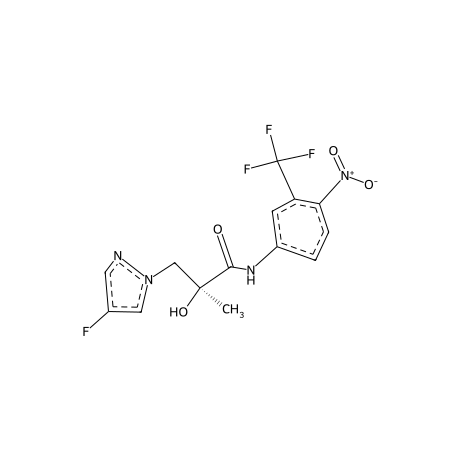 C[C@](O)(Cn1cc(F)cn1)C(=O)Nc1ccc([N+](=O)[O-])c(C(F)(F)F)c1